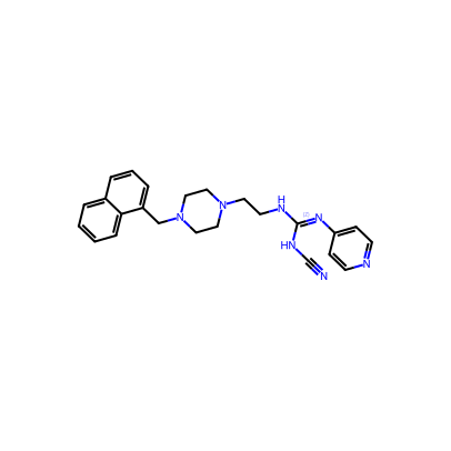 N#CN/C(=N\c1ccncc1)NCCN1CCN(Cc2cccc3ccccc23)CC1